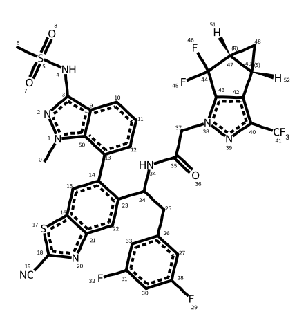 Cn1nc(NS(C)(=O)=O)c2cccc(-c3cc4sc(C#N)nc4cc3C(Cc3cc(F)cc(F)c3)NC(=O)Cn3nc(C(F)(F)F)c4c3C(F)(F)[C@@H]3C[C@H]43)c21